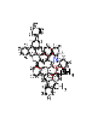 Cc1cc(C)c(B2c3ccccc3N(c3ccccc3)c3c2c(-c2c(-c4ccccc4)cc(-c4ccccc4)cc2-c2ccccc2)c2ccc4ccc(-c5c(-c6ccccc6)cc(-c6ccccc6)cc5-c5ccccc5)c5ccc3c2c45)c(C)c1